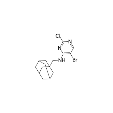 Clc1ncc(Br)c(NCC23CC4CC(CC(C4)C2)C3)n1